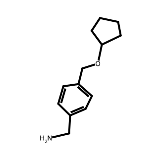 NCc1ccc(COC2CCCC2)cc1